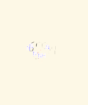 CC(C)N1CCC(Cc2ccn3ncc(N4CCC(=O)NC4=O)c3c2)CC1